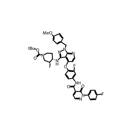 COc1ccc(Cn2nc(N[C@H]3CCN(C(=O)OC(C)(C)C)C[C@@H]3F)c3c(Oc4ccc(NC(=O)c5ccnn(-c6ccc(F)cc6)c5=O)cc4F)ccnc32)cc1